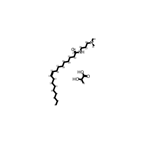 CC(O)C(=O)O.CCCCCCCC/C=C\CCCCCCCC(=O)NCCCN(C)C